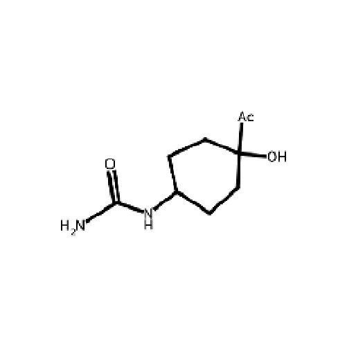 CC(=O)C1(O)CCC(NC(N)=O)CC1